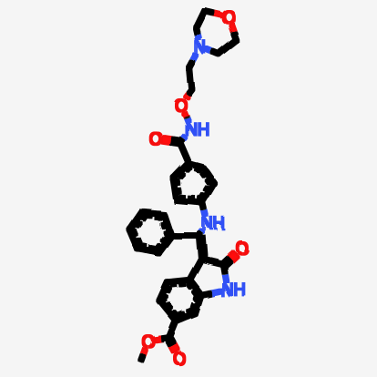 COC(=O)c1ccc2c(c1)NC(=O)/C2=C(\Nc1ccc(C(=O)NOCCN2CCOCC2)cc1)c1ccccc1